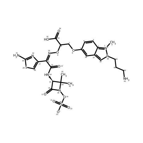 C[n+]1c2ccc(OCC(O/N=C(\C(=O)N[C@@H]3C(=O)N(OS(=O)(=O)[O-])C3(C)C)c3csc(N)n3)C(=O)O)cc2cn1CCCN